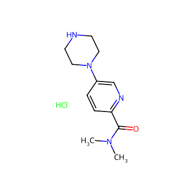 CN(C)C(=O)c1ccc(N2CCNCC2)cn1.Cl